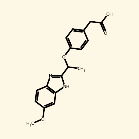 COc1ccc2nc(C(C)Oc3ccc(CC(=O)O)cc3)[nH]c2c1